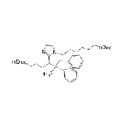 CCCCCCCCCCCCCCCCn1ccnc1C(CCCCCCCCCCCCC)C(C)(Cc1ccccc1)c1ccccc1